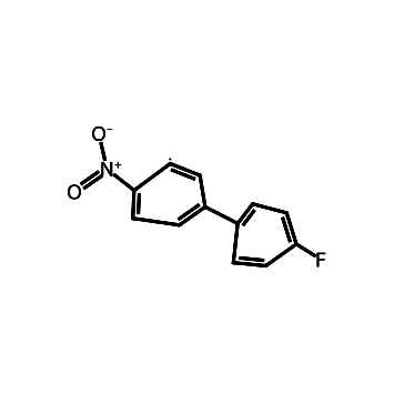 O=[N+]([O-])c1[c]cc(-c2ccc(F)cc2)cc1